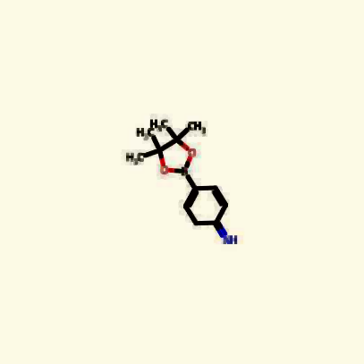 CC1(C)OB(C2=CCC(=N)C=C2)OC1(C)C